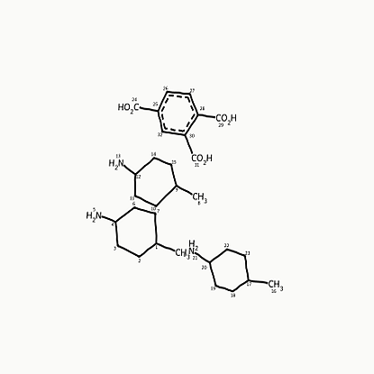 CC1CCC(N)CC1.CC1CCC(N)CC1.CC1CCC(N)CC1.O=C(O)c1ccc(C(=O)O)c(C(=O)O)c1